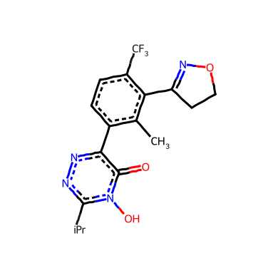 Cc1c(-c2nnc(C(C)C)n(O)c2=O)ccc(C(F)(F)F)c1C1=NOCC1